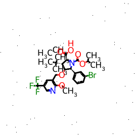 CC.COc1ncc(C(F)(F)F)cc1CO[C@H]1[C@H](C(C)(C)C)[C@@H](C(=O)O)N(C(=O)OC(C)C)[C@H]1c1cccc(Br)c1